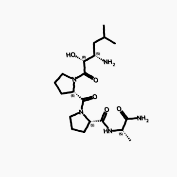 CC(C)C[C@H](N)[C@@H](O)C(=O)N1CCC[C@H]1C(=O)N1CCC[C@H]1C(=O)N[C@@H](C)C(N)=O